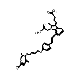 Cc1cc(Cl)cc(C)c1OC/C=C/COc1ccc(C=Cc2cccc3c(CCCC(=O)O)c(C)n(CC(=O)O)c23)cc1